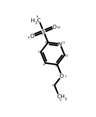 CCOc1ccc(S(C)(=O)=O)nc1